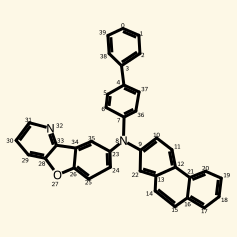 c1ccc(-c2ccc(N(c3ccc4c(ccc5ccccc54)c3)c3ccc4oc5cccnc5c4c3)cc2)cc1